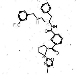 Cc1coc([C@H]2CCCN2C(=O)c2cccc(C(=O)N[C@H](CCNCc3cccc(C(F)(F)F)c3)Cc3ccccc3)c2)n1